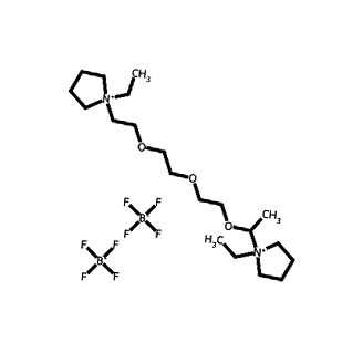 CC[N+]1(CCOCCOCCOC(C)[N+]2(CC)CCCC2)CCCC1.F[B-](F)(F)F.F[B-](F)(F)F